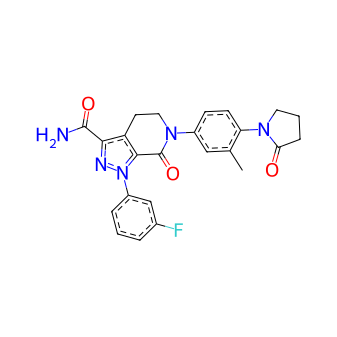 Cc1cc(N2CCc3c(C(N)=O)nn(-c4cccc(F)c4)c3C2=O)ccc1N1CCCC1=O